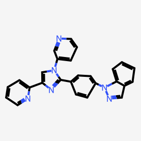 c1ccc(-c2cn(-c3cccnc3)c(-c3ccc(-n4ncc5ccccc54)cc3)n2)nc1